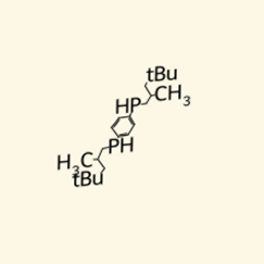 CC(CPc1ccc(PCC(C)CC(C)(C)C)cc1)CC(C)(C)C